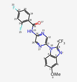 COc1ccc2c(c1)nc(C(F)(F)F)n2-c1cnc(NC(=O)c2ccc(F)cc2F)cn1